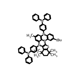 Cc1cc2c3c(c1)N(c1ccc(N(c4ccccc4)c4ccccc4)cc1)c1c(sc4c1C(C)(C)CCC4(C)C)B3c1cc(C(C)(C)C)ccc1N2c1ccc(N(c2ccccc2)c2ccccc2)cc1